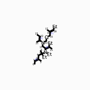 C/C=C(\C)CC(C)(CC)N(CC)/C(CN(COC/C(C)=C/CC)/C(C)=C/C)=C(\C)CC